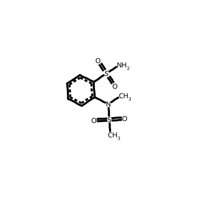 CN(c1ccccc1S(N)(=O)=O)S(C)(=O)=O